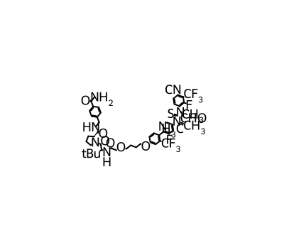 CN(C(=S)N(c1cnc(-c2ccc(OCCCCOCC(=O)NC(C(=O)N3CCC[C@H]3C(=O)NCc3ccc(C(N)=O)cc3)C(C)(C)C)cc2C(F)(F)F)c(F)c1)C(C)(C)C=O)c1ccc(C#N)c(C(F)(F)F)c1F